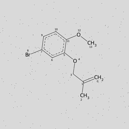 C=C(C)COc1cc(Br)ccc1OC